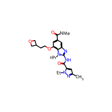 CCCn1c(NC(=O)c2cc(C)nn2CC)nc2cc(C(=O)NC)cc(OCCC3COC3)c21